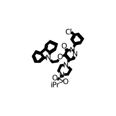 CC(C)S(=O)(=O)N1CCN(c2cnn(-c3cccc(Cl)c3)c(=O)c2OCCn2c3ccccc3c3ccccc32)CC1